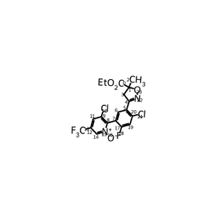 CCOC(=O)C1(C)CC(c2cc(-c3c(Cl)cc(C(F)(F)F)c[n+]3[O-])c(F)cc2Cl)=NO1